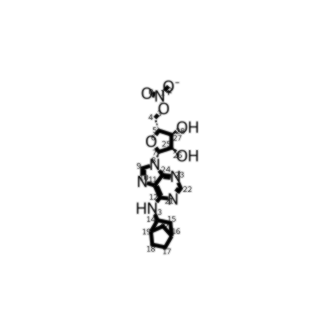 O=[N+]([O-])OC[C@H]1O[C@@H](n2cnc3c(NC4CC5CCC4C5)ncnc32)[C@H](O)[C@@H]1O